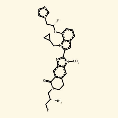 Cn1c(-c2cc3cccc(O[C@@H](F)Cn4ccnc4)c3n2CC2CC2)nc2cc3c(cc21)CCN(C[C@H](N)CF)C3=O